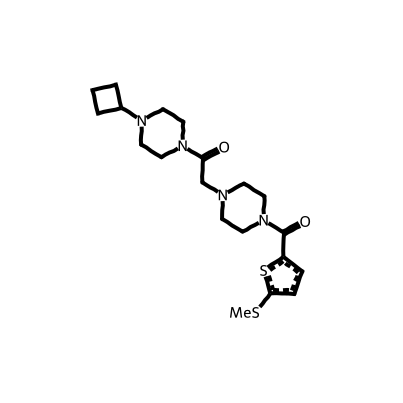 CSc1ccc(C(=O)N2CCN(CC(=O)N3CCN(C4CCC4)CC3)CC2)s1